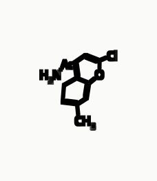 CC(N)=O.CC1=CCC2=CC=C(Cl)OC2=C1